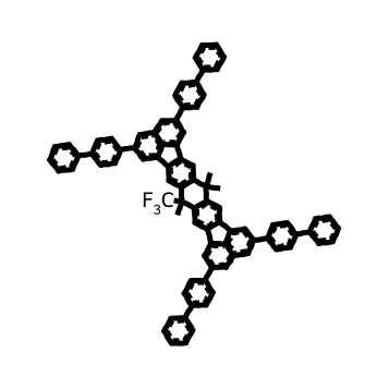 CC1(C)c2cc3c(cc2C(C)(C(F)(F)F)c2cc4c(cc21)-c1cc(-c2ccc(-c5ccccc5)cc2)cc2cc(-c5ccc(-c6ccccc6)cc5)cc-4c12)-c1cc(-c2ccc(-c4ccccc4)cc2)cc2cc(-c4ccc(-c5ccccc5)cc4)cc-3c12